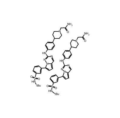 CC(C)(C)NS(=O)(=O)c1cccc(-c2ccc3cnc(Nc4ccc(C5CCN(CC(N)=O)CC5)cc4)nn23)c1.CC(C)(C)NS(=O)(=O)c1cccc(-c2ccc3cnc(Nc4ccc(C5CCN(CC(N)=O)CC5)cc4)nn23)c1